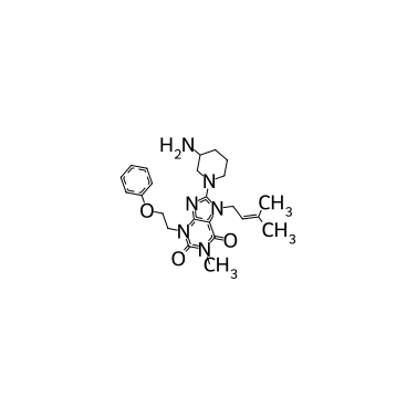 CC(C)=CCn1c(N2CCCC(N)C2)nc2c1c(=O)n(C)c(=O)n2CCOc1ccccc1